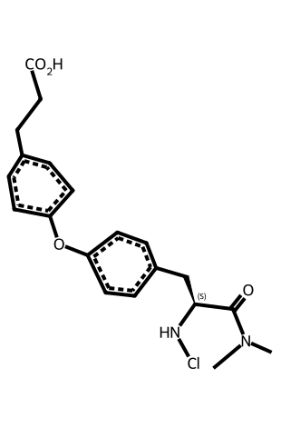 CN(C)C(=O)[C@H](Cc1ccc(Oc2ccc(CCC(=O)O)cc2)cc1)NCl